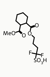 COC(=O)C1CCCCC1C(=O)OCCCC(F)(F)S(=O)(=O)O